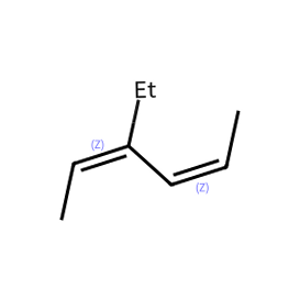 C/C=C\C(=C/C)CC